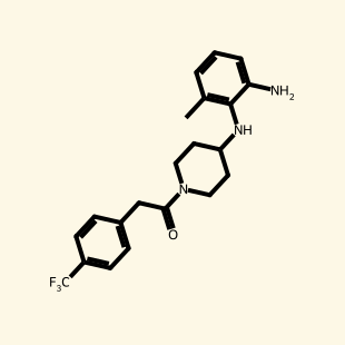 Cc1cccc(N)c1NC1CCN(C(=O)Cc2ccc(C(F)(F)F)cc2)CC1